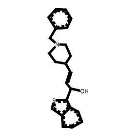 OC(C=CC1CCN(Cc2ccccc2)CC1)c1scc2ccccc12